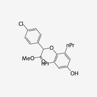 CCCc1cc(O)cc(CCC)c1OC(C(=O)OC)c1ccc(Cl)cc1